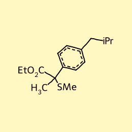 CCOC(=O)C(C)(SC)c1ccc(CC(C)C)cc1